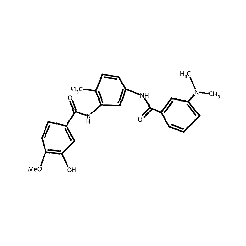 COc1ccc(C(=O)Nc2cc(NC(=O)c3cccc(N(C)C)c3)ccc2C)cc1O